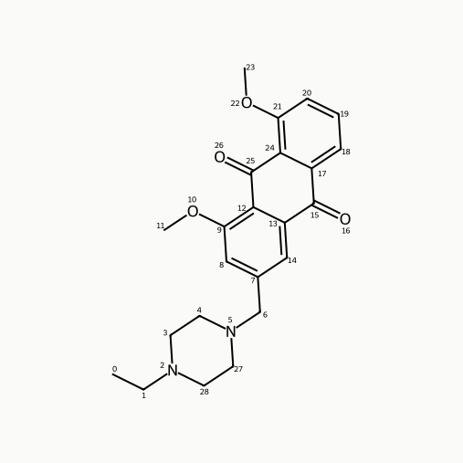 CCN1CCN(Cc2cc(OC)c3c(c2)C(=O)c2cccc(OC)c2C3=O)CC1